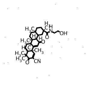 CC1(C)C(=O)C(C#N)=C[C@]2(C)C3=CC(=O)[C@@H]4[C@@H]5C[C@@](C)(C(=O)NCCO)CC[C@]5(C)CC[C@@]4(C)[C@]3(C)CCC12